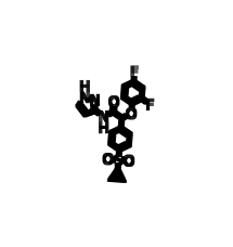 O=C(Nc1cc[nH]n1)C(Oc1ccc(F)cc1F)c1ccc(S(=O)(=O)C2CC2)cc1